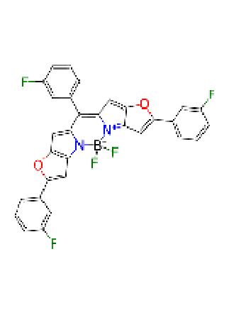 Fc1cccc(C2=C3C=c4oc(-c5cccc(F)c5)cc4=[N+]3[B-](F)(F)n3c2cc2oc(-c4cccc(F)c4)cc23)c1